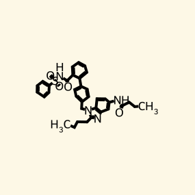 CCCCc1nc2cc(NC(=O)CCC)ccc2n1Cc1ccc(-c2ccccc2C(=O)NS(=O)(=O)c2ccccc2)cc1